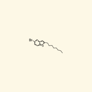 CCCCCCCCc1cc2cc(Br)ccc2s1